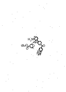 C[C@@H]1CN(C(=O)OC(C)(C)C)C[C@H](CNc2c(C3CCN(C(=O)c4ccc(S(F)(F)(F)(F)F)cc4)CC3)ccnc2N)O1